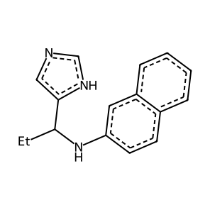 CCC(Nc1ccc2ccccc2c1)c1cnc[nH]1